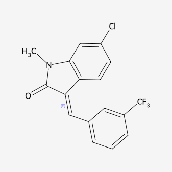 CN1C(=O)/C(=C/c2cccc(C(F)(F)F)c2)c2ccc(Cl)cc21